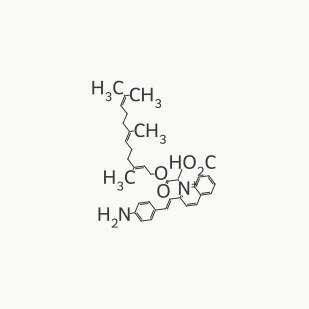 CC(C)=CCC/C(C)=C/CC/C(C)=C/COC(=O)C(CC(=O)O)[n+]1c(/C=C/c2ccc(N)cc2)ccc2ccccc21